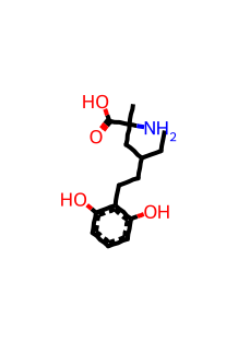 CCC(CCc1c(O)cccc1O)CC(C)(N)C(=O)O